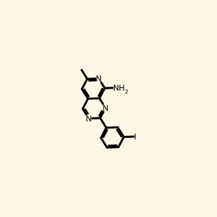 Cc1cc2cnc(-c3cccc(I)c3)nc2c(N)n1